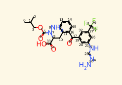 CC(C)COC(=O)N(N)C(Cc1ccccc1C(=O)c1cc(NC=NN)cc(C(F)(F)F)c1)C(=O)O